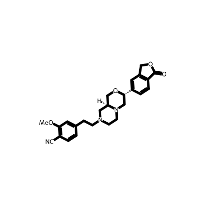 COc1cc(CCN2CCN3C[C@@H](c4ccc5c(c4)COC5=O)OC[C@@H]3C2)ccc1C#N